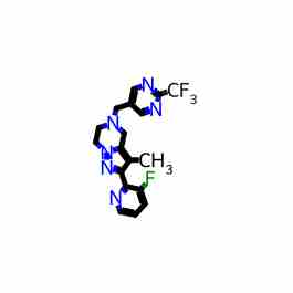 Cc1c(-c2ncccc2F)nn2c1CN(Cc1cnc(C(F)(F)F)nc1)CC2